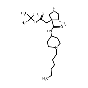 CCCCCCN1CCC(NC(=O)[C@]2(CC(=O)OC(C)(C)C)CNC[C@@H]2C)CC1